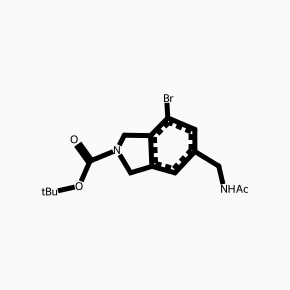 CC(=O)NCc1cc(Br)c2c(c1)CN(C(=O)OC(C)(C)C)C2